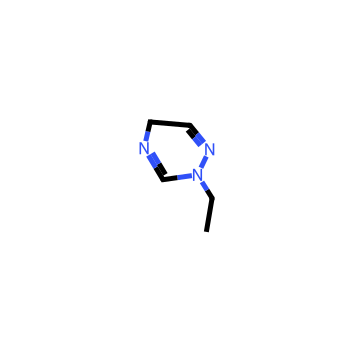 CCN1C=NCC=N1